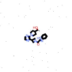 C[C@@H](O)C1CCN(c2nccnc2C2CN(C(=O)c3nc4ccccc4[nH]3)C2)CC1